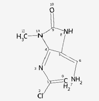 C=C(Cl)/N=C1\C(=C/N)NC(=O)N1C